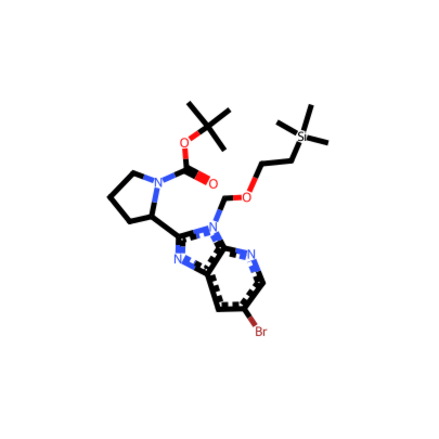 CC(C)(C)OC(=O)N1CCCC1c1nc2cc(Br)cnc2n1COCC[Si](C)(C)C